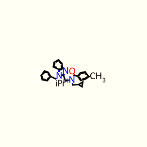 Cc1ccc(C(=O)N(CC2CC2)[C@@H](c2nc3ccccc3n2Cc2ccccc2)C(C)C)cc1